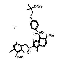 COc1ccc2[nH]c([S+]([O-])Cc3ncc(C)c(OC)c3C)nc2c1S(=O)(=O)c1ccc(OCC(C)(C)C(=O)[O-])cc1.[Li+]